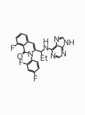 CCC(Nc1ncnc2[nH]cnc12)c1cc2cccc(F)c2c(=O)n1-c1ccc(F)cc1F